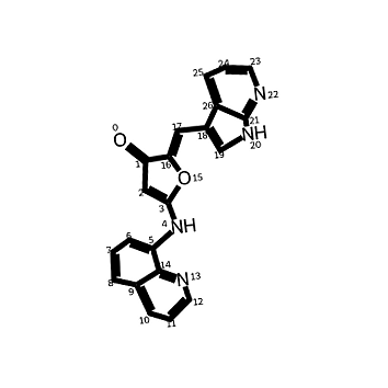 O=C1C=C(Nc2cccc3cccnc23)OC1=Cc1c[nH]c2ncccc12